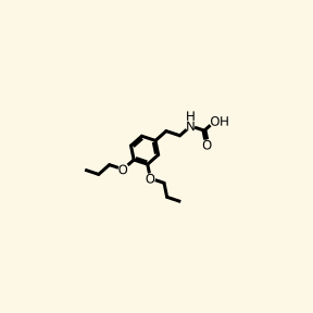 CCCOc1ccc(CCNC(=O)O)cc1OCCC